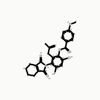 C=C(C)Cc1c(OC(=O)c2ccc(OC)cc2)c(Cl)cc(F)c1N1C(=O)C2=C(CCCC2)C1=O